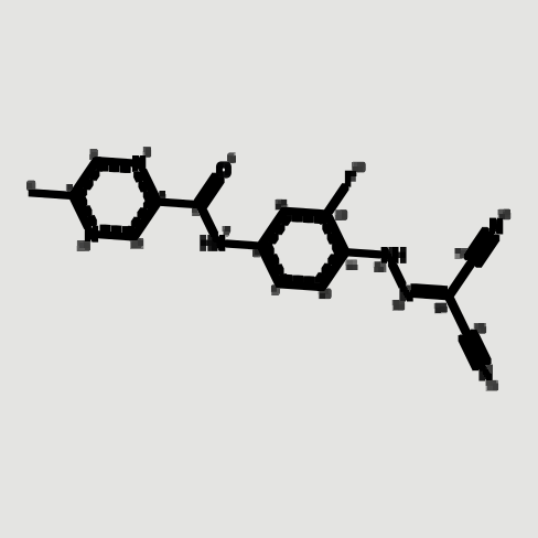 Cc1cnc(C(=O)Nc2ccc(NN=C(C#N)C#N)c(F)c2)cn1